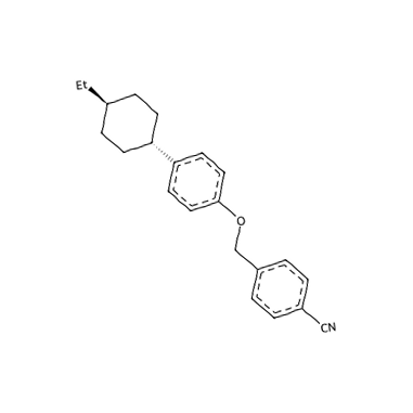 CC[C@H]1CC[C@H](c2ccc(OCc3ccc(C#N)cc3)cc2)CC1